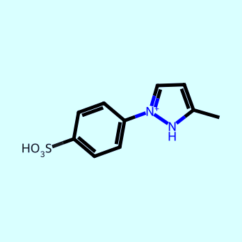 Cc1cc[n+](-c2ccc(S(=O)(=O)O)cc2)[nH]1